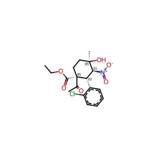 CCOC(=O)[C@]1(C(C)=O)CC[C@@](C)(O)[C@@H]([N+](=O)[O-])[C@@H]1c1ccccc1Cl